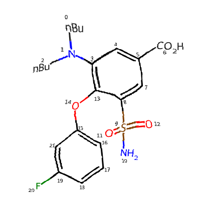 CCCCN(CCCC)c1cc(C(=O)O)cc(S(N)(=O)=O)c1Oc1cccc(F)c1